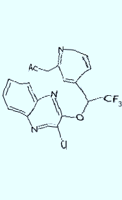 CC(=O)c1cc(C(Oc2nc3ccccc3nc2Cl)C(F)(F)F)ccn1